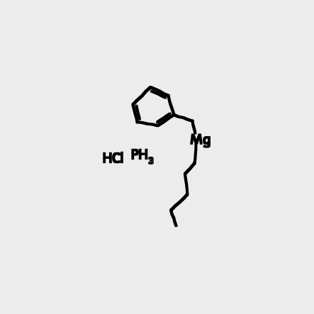 CCCC[CH2][Mg][CH2]c1ccccc1.Cl.P